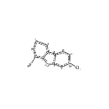 Fc1cccc2c1oc1cc(Cl)ccc12